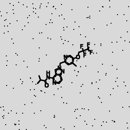 Cc1cc(Cn2cc3c(NC(=O)C(C)C)nccc3n2)ncc1OCC(F)(F)C(F)F